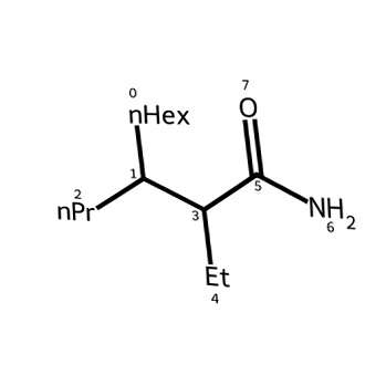 CCCCCCC(CCC)C(CC)C(N)=O